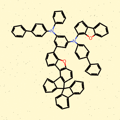 c1ccc(-c2ccc(N(c3ccccc3)c3cc(-c4cccc5c4oc4ccc6c(c45)-c4ccccc4C64c5ccccc5-c5ccccc54)cc(N(c4ccc(-c5ccccc5)cc4)c4cccc5c4oc4ccccc45)c3)cc2)cc1